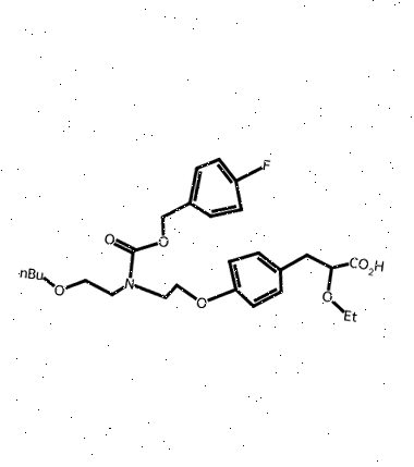 CCCCOCCN(CCOc1ccc(CC(OCC)C(=O)O)cc1)C(=O)OCc1ccc(F)cc1